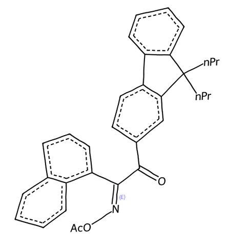 CCCC1(CCC)c2ccccc2-c2ccc(C(=O)/C(=N/OC(C)=O)c3cccc4ccccc34)cc21